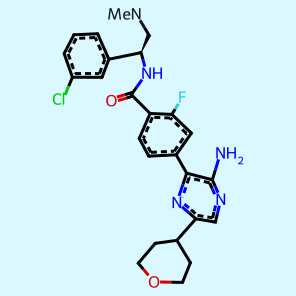 CNC[C@@H](NC(=O)c1ccc(-c2nc(C3CCOCC3)cnc2N)cc1F)c1cccc(Cl)c1